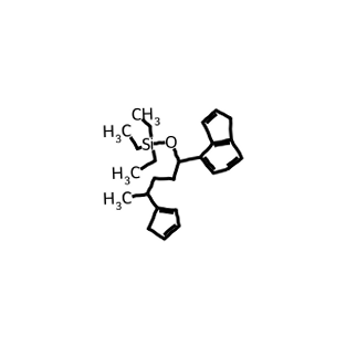 CC[Si](CC)(CC)OC(CCC(C)C1=CC=CC1)c1cccc2c1C=CC2